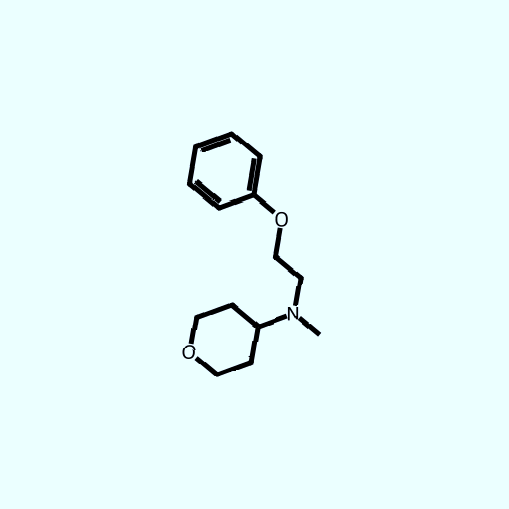 CN(CCOc1ccccc1)C1CCOCC1